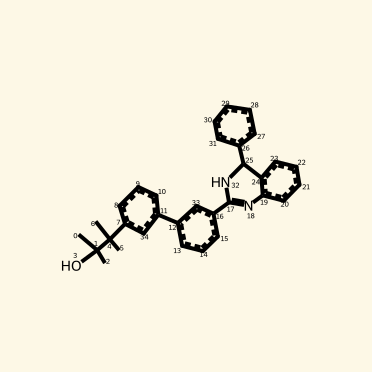 CC(C)(O)C(C)(C)c1cccc(-c2cccc(C3=Nc4ccccc4C(c4ccccc4)N3)c2)c1